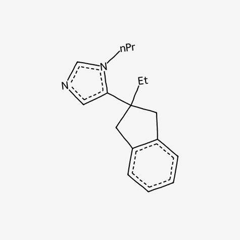 CCCn1cncc1C1(CC)Cc2ccccc2C1